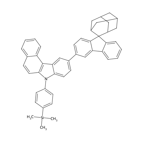 C[Si](C)(C)c1ccc(-n2c3ccc(-c4ccc5c(c4)-c4ccccc4C54C5CC6CC(C5)CC4C6)cc3c3c4ccccc4ccc32)cc1